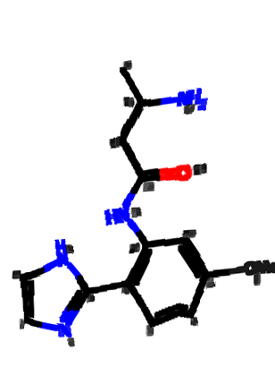 COc1ccc(-c2ncc[nH]2)c(NC(=O)CC(C)N)c1